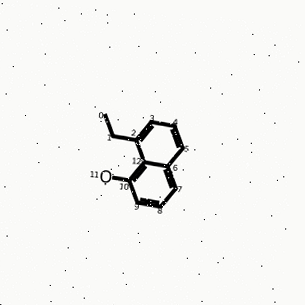 CCc1cccc2cccc([O])c12